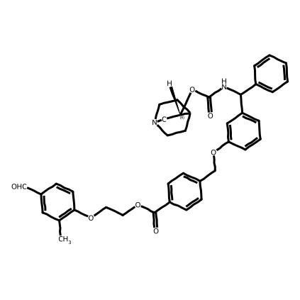 Cc1cc(C=O)ccc1OCCOC(=O)c1ccc(COc2cccc(C(NC(=O)O[C@H]3CN4CCC3CC4)c3ccccc3)c2)cc1